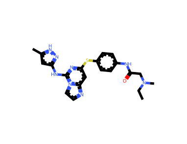 CCN(C)CC(=O)Nc1ccc(Sc2cc3nccn3c(Nc3cc(C)[nH]n3)n2)cc1